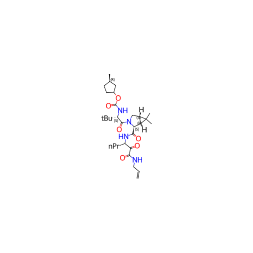 C=CCNC(=O)C(=O)C(CCC)NC(=O)[C@@H]1[C@@H]2[C@H](CN1C(=O)[C@@H](NC(=O)OC1CC[C@@H](C)C1)C(C)(C)C)C2(C)C